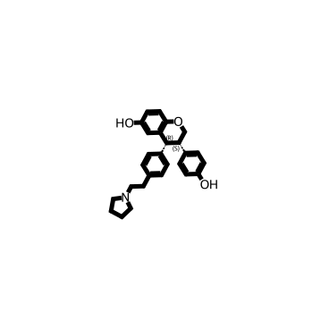 Oc1ccc([C@H]2COc3ccc(O)cc3[C@H]2c2ccc(CCN3CCCC3)cc2)cc1